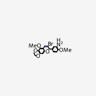 COc1ccc(C(=O)/C(Br)=C\c2ccc3c(c2OC)OCCO3)cc1N